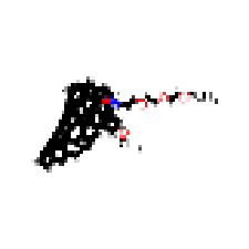 CCOCCOCCOCCN1CC2C3=c4c5c6c7c(cc8c9c%10c%11c%12c%13c%14c(cc%15c%16c(c4c(c5c%11c79)c%12c%14%16)=C(C3)C%15)=CC3=CC(=C8)C%10C3%13)CC62C1c1cccc(OC)c1